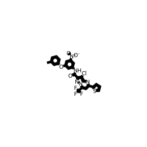 Cc1cccc(Oc2cc(NC(=O)c3nn4c(C(F)(F)F)cc(-c5cccs5)nc4c3Cl)cc([N+](=O)[O-])c2)c1